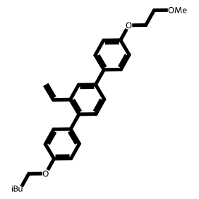 C=Cc1cc(-c2ccc(OCCOC)cc2)ccc1-c1ccc(OCC(C)CC)cc1